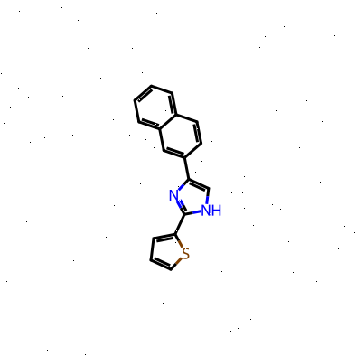 c1csc(-c2nc(-c3ccc4ccccc4c3)c[nH]2)c1